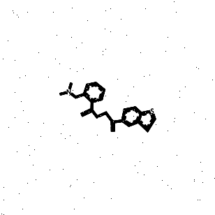 C=C(CCC(=C)c1ccccc1CN(C)C)c1ccc2sccc2c1